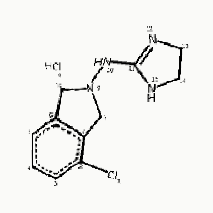 Cl.Clc1cccc2c1CN(NC1=NCCN1)C2